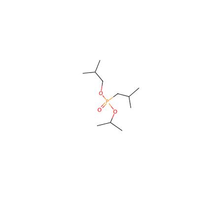 CC(C)COP(=O)(CC(C)C)OC(C)C